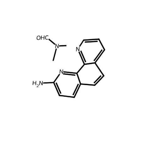 CN(C)C=O.Nc1ccc2ccc3cccnc3c2n1